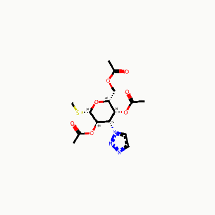 CS[C@@H]1O[C@H](COC(C)=O)[C@H](OC(C)=O)[C@H](n2ccnn2)[C@H]1OC(C)=O